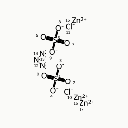 O=S(=O)([O-])[O-].O=S(=O)([O-])[O-].[Cl-].[Cl-].[N].[N].[N].[Zn+2].[Zn+2].[Zn+2]